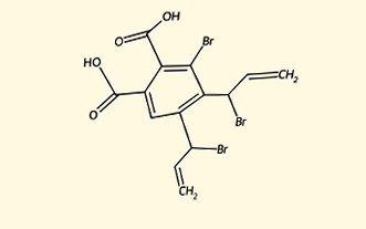 C=CC(Br)c1cc(C(=O)O)c(C(=O)O)c(Br)c1C(Br)C=C